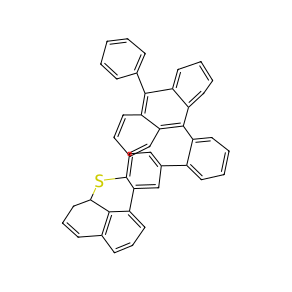 C1=Cc2cccc3c2C(C1)Sc1ccc(-c2ccccc2-c2c4ccccc4c(-c4ccccc4)c4ccccc24)cc1-3